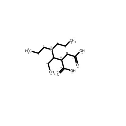 CCCN(CCC)C(CC)C(CC(=O)O)C(=O)O